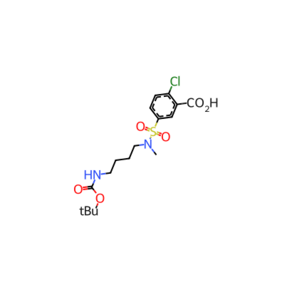 CN(CCCCNC(=O)OC(C)(C)C)S(=O)(=O)c1ccc(Cl)c(C(=O)O)c1